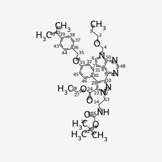 CCCOCn1ccc2c(-c3nn(CCNC(=O)OC(C)(C)C)c(C(=O)OCC)c3-c3ccc(OCc4ccc(C(C)C)cc4)cc3)ncnc21